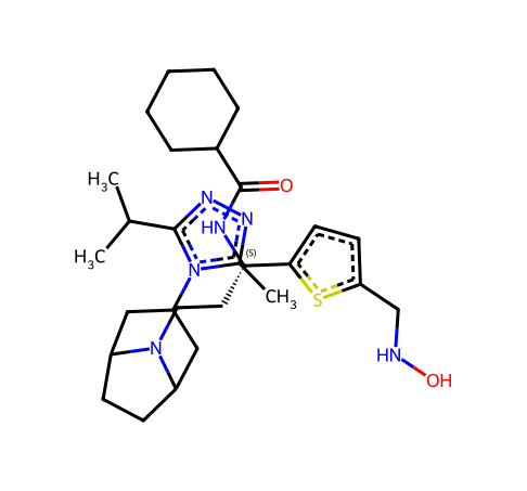 Cc1nnc(C(C)C)n1C1CC2CCC(C1)N2CC[C@H](NC(=O)C1CCCCC1)c1ccc(CNO)s1